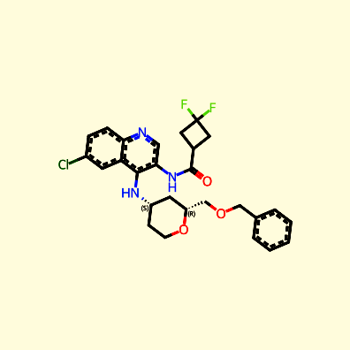 O=C(Nc1cnc2ccc(Cl)cc2c1N[C@H]1CCO[C@@H](COCc2ccccc2)C1)C1CC(F)(F)C1